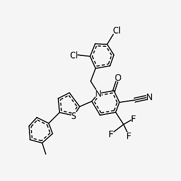 Cc1cccc(-c2ccc(-c3cc(C(F)(F)F)c(C#N)c(=O)n3Cc3ccc(Cl)cc3Cl)s2)c1